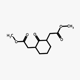 COC(=O)CC1CCCC(CC(=O)OC)C1=O